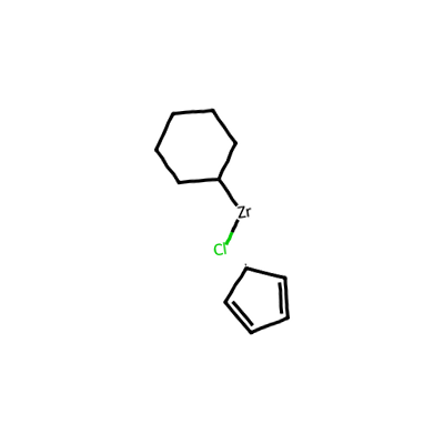 [CH]1C=CC=C1.[Cl][Zr][CH]1CCCCC1